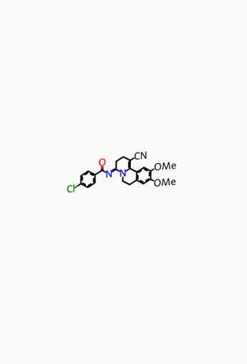 COc1cc2c(cc1OC)C1=C(C#N)CC/C(=N\C(=O)c3ccc(Cl)cc3)N1CC2